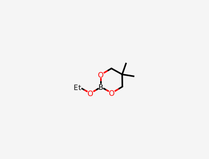 CCOB1OCC(C)(C)CO1